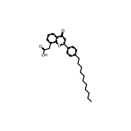 CCCCCCCCCCCc1ccc(-c2cc(=O)c3cccc(CC(=O)O)c3o2)cc1